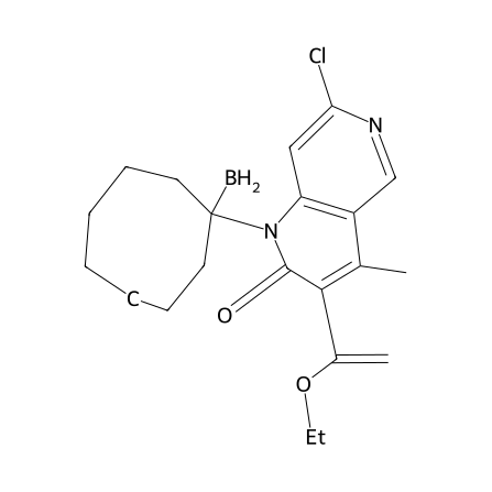 BC1(n2c(=O)c(C(=C)OCC)c(C)c3cnc(Cl)cc32)CCCCCCC1